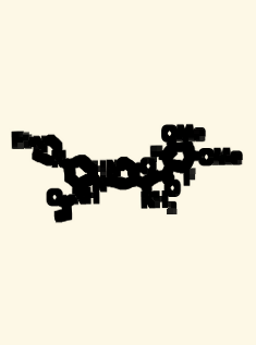 C=CC(=O)Nc1cc(N2CCN(CC)CC2)ccc1Nc1cc2c(N)c(C(=O)c3c(F)c(OC)cc(OC)c3F)oc2cn1